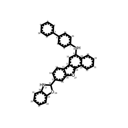 c1ccc(-c2ccc(Nc3cc4c5ccc(C6Nc7ccccc7O6)cc5oc4c4ccccc34)cc2)cc1